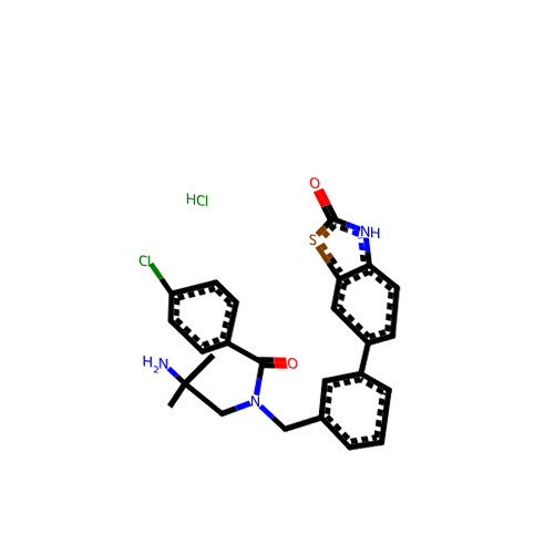 CC(C)(N)CN(Cc1cccc(-c2ccc3[nH]c(=O)sc3c2)c1)C(=O)c1ccc(Cl)cc1.Cl